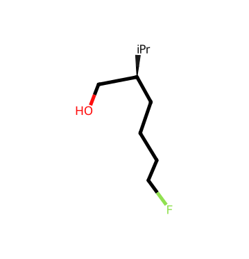 CC(C)[C@H](CO)CCCCF